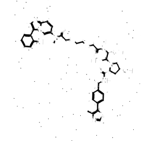 CCCC([C@@H](NC(=O)COCCOCC(=O)N(C)c1ccc2ncc(-c3ccccc3Cl)n2c1)C(C)(C)C)N1C[C@H](O)C[C@H]1C(=O)NCc1ccc(-c2scnc2C)cc1